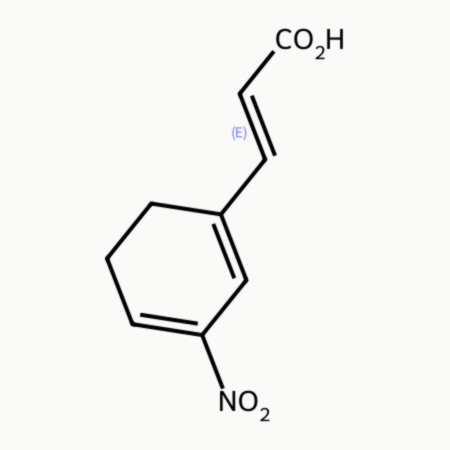 O=C(O)/C=C/C1=CC([N+](=O)[O-])=CCC1